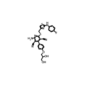 N#Cc1c(N)nc(SCc2csc(Nc3ccc(F)cc3)n2)c(C#N)c1-c1ccc(OCC(O)CO)cc1